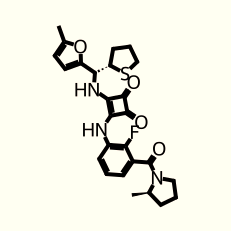 Cc1ccc(C(Nc2c(Nc3cccc(C(=O)N4CCC[C@H]4C)c3F)c(=O)c2=O)[C@@H]2CCCS2)o1